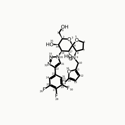 OC[C@H]1O[C@]2(OCC[C@H]2NCc2ccc(Cl)o2)[C@H](O)[C@@H](n2cc(-c3cc(F)c(F)c(F)c3)nn2)[C@H]1O